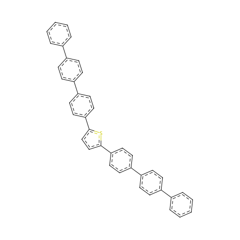 c1ccc(-c2ccc(-c3ccc(-c4ccc(-c5ccc(-c6ccc(-c7ccccc7)cc6)cc5)s4)cc3)cc2)cc1